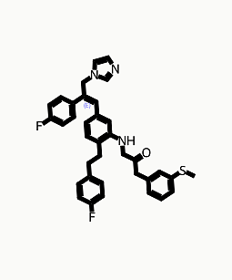 CSc1cccc(CC(=O)CNc2cc(/C=C(/Cn3ccnc3)c3ccc(F)cc3)ccc2CCc2ccc(F)cc2)c1